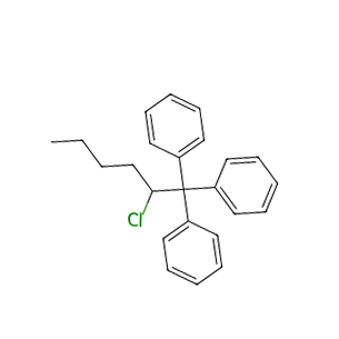 CCCCC(Cl)C(c1ccccc1)(c1ccccc1)c1ccccc1